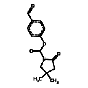 CC1(C)CC(=O)N(C(=O)Oc2ccc(C=O)cc2)C1